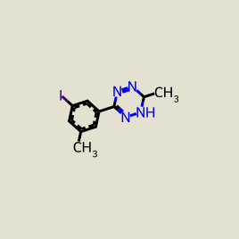 Cc1cc(I)cc(C2=NNC(C)N=N2)c1